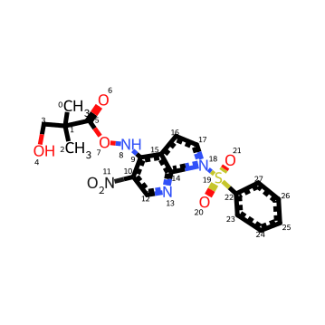 CC(C)(CO)C(=O)ONc1c([N+](=O)[O-])cnc2c1ccn2S(=O)(=O)c1ccccc1